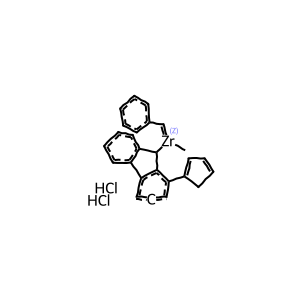 Cl.Cl.[CH3]/[Zr](=[CH]/c1ccccc1)[CH]1c2ccccc2-c2cccc(C3=CC=CC3)c21